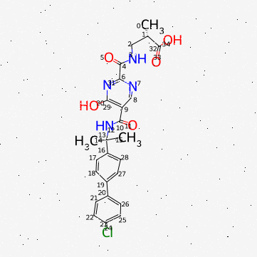 C[C@@H](CNC(=O)c1ncc(C(=O)NC(C)(C)c2ccc(-c3ccc(Cl)cc3)cc2)c(O)n1)C(=O)O